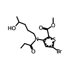 CCC(=O)N(CCCC(C)O)c1cc(Br)sc1C(=O)OC